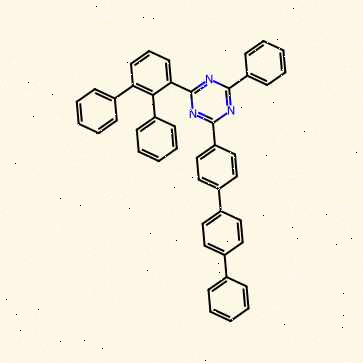 c1ccc(-c2ccc(-c3ccc(-c4nc(-c5ccccc5)nc(-c5cccc(-c6ccccc6)c5-c5ccccc5)n4)cc3)cc2)cc1